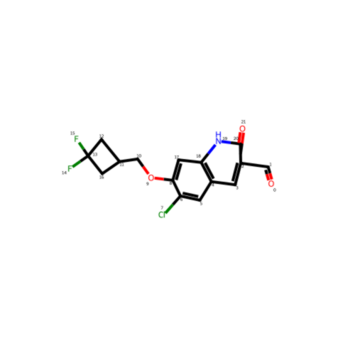 O=Cc1cc2cc(Cl)c(OCC3CC(F)(F)C3)cc2[nH]c1=O